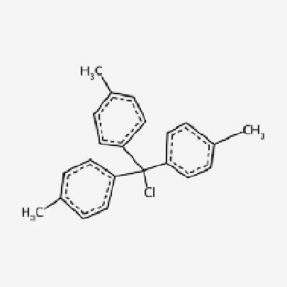 Cc1ccc(C(Cl)(c2ccc(C)cc2)c2ccc(C)cc2)cc1